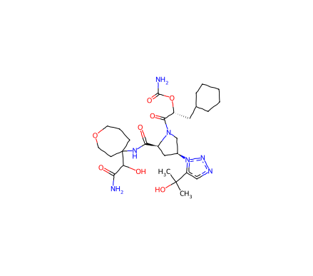 CC(C)(O)c1cnnn1[C@H]1C[C@@H](C(=O)NC2(C(O)C(N)=O)CCCOCC2)N(C(=O)[C@@H](CC2CCCCC2)OC(N)=O)C1